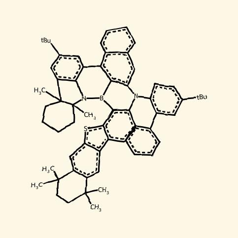 CC(C)(C)c1ccc(N2c3cc4ccccc4c4c3B(c3c2ccc2c3sc3cc5c(cc32)C(C)(C)CCC5(C)C)N2c3c-4cc(C(C)(C)C)cc3C3(C)CCCCC23C)c(-c2ccccc2)c1